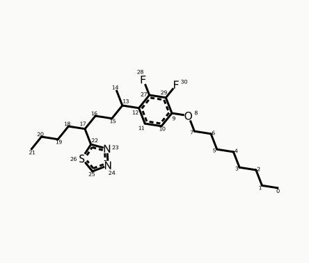 CCCCCCCCOc1ccc(C(C)CCC(CCCC)c2nncs2)c(F)c1F